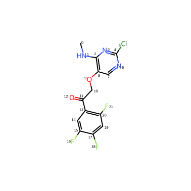 CNc1nc(Cl)ncc1OCC(=O)c1cc(F)c(F)cc1F